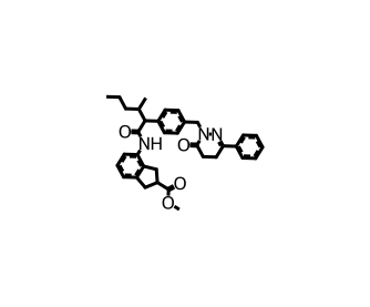 CCCC(C)C(C(=O)Nc1cccc2c1CC(C(=O)OC)C2)c1ccc(CN2N=C(c3ccccc3)CCC2=O)cc1